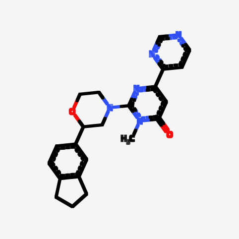 Cn1c(N2CCOC(c3ccc4c(c3)CCC4)C2)nc(-c2ccncn2)cc1=O